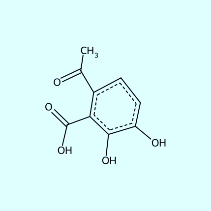 CC(=O)c1ccc(O)c(O)c1C(=O)O